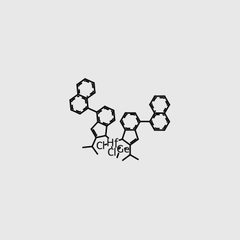 CC(C)C1=Cc2c(-c3cccc4ccccc34)cccc2[CH]1[Hf]([Cl])([Cl])([CH]1C(C(C)C)=Cc2c(-c3cccc4ccccc34)cccc21)=[Ge]([CH3])[CH3]